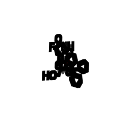 O=c1[nH]c(=O)n([C@H]2C[C@H](OC(c3ccccc3)(c3ccccc3)c3ccccc3)[C@@H](CO)O2)cc1F